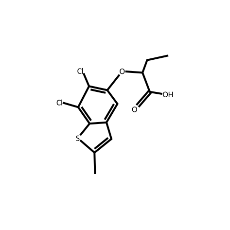 CCC(Oc1cc2cc(C)sc2c(Cl)c1Cl)C(=O)O